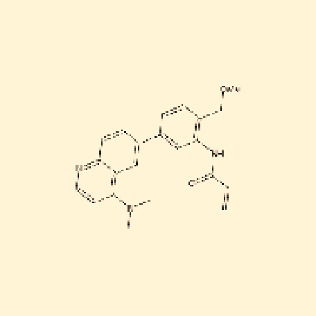 C=CC(=O)Nc1cc(-c2ccc3nccc(N(C)C)c3c2)ccc1COC